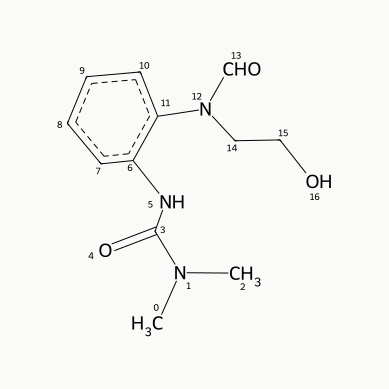 CN(C)C(=O)Nc1ccccc1N(C=O)CCO